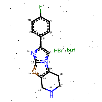 Br.Br.Fc1ccc(-c2cn3c4c(sc3n2)CNCC4)cc1